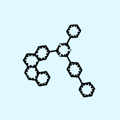 c1ccc(-c2ccc(-c3nc(-c4ccccc4)nc(-c4ccc5ccc6ccc7ccccc7c6c5c4)n3)cc2)cc1